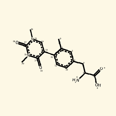 Cc1cc(CC(N)C(=O)O)ccc1-c1cn(C)c(=O)n(C)c1=O